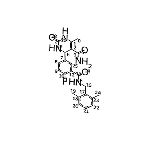 CC1=C(C(N)=O)C(c2ccc(F)c(C(=O)NCc3c(C)cccc3C)c2)NC(=O)N1